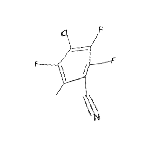 Cc1c(F)c(Cl)c(F)c(F)c1C#N